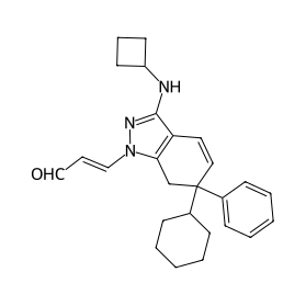 O=CC=Cn1nc(NC2CCC2)c2c1CC(c1ccccc1)(C1CCCCC1)C=C2